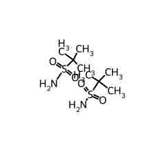 CC(C)(C)S(N)(=O)=O.CC(C)(C)S(N)(=O)=O